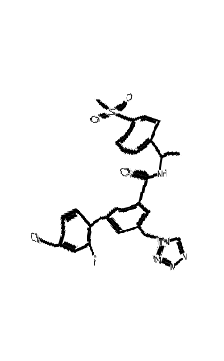 CC(NC(=O)c1cc(-c2ccc(Cl)cc2F)cc(-n2cnnn2)c1)c1ccc(S(C)(=O)=O)cc1